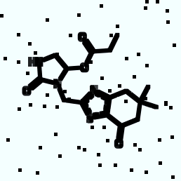 CCC(=O)OC1CNC(=O)N1Cc1nc2c(s1)C(=O)CC(C)(C)C2